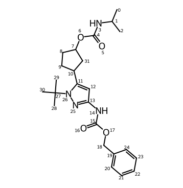 CC(C)NC(=O)OC1CCC(c2cc(NC(=O)OCc3ccccc3)nn2C(C)(C)C)C1